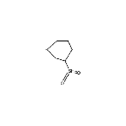 O=[SH](=O)C1C[CH]CCC1